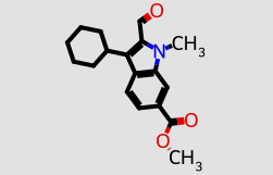 COC(=O)c1ccc2c(C3CCCCC3)c(C=O)n(C)c2c1